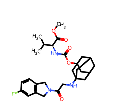 COC(=O)[C@@H](NC(=O)OC12CC3CC(CC(NCC(=O)N4Cc5ccc(F)cc5C4)(C3)C1)C2)C(C)C